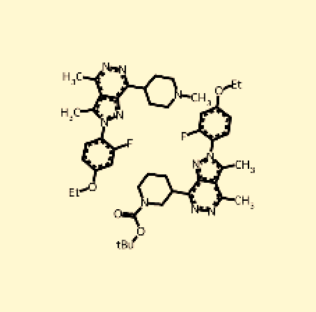 CCOc1ccc(-n2nc3c(C4CCCN(C(=O)OC(C)(C)C)C4)nnc(C)c3c2C)c(F)c1.CCOc1ccc(-n2nc3c(C4CCN(C)CC4)nnc(C)c3c2C)c(F)c1